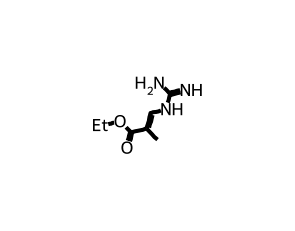 CCOC(=O)C(C)=CNC(=N)N